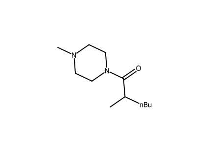 CCCCC(C)C(=O)N1CCN(C)CC1